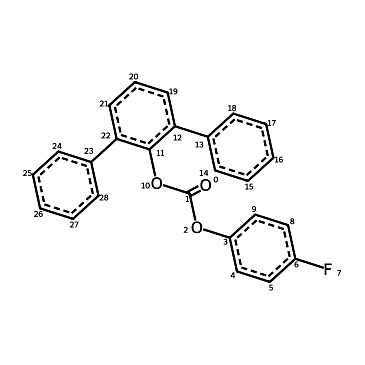 O=C(Oc1ccc(F)cc1)Oc1c(-c2ccccc2)cccc1-c1ccccc1